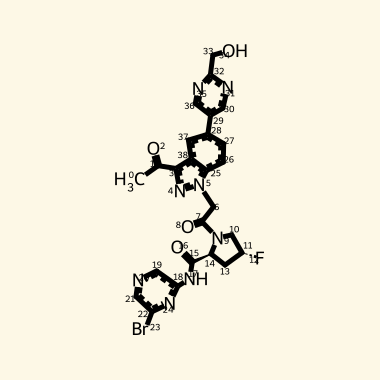 CC(=O)c1nn(CC(=O)N2C[C@H](F)C[C@H]2C(=O)Nc2cncc(Br)n2)c2ccc(-c3cnc(CO)nc3)cc12